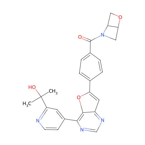 CC(C)(O)c1cc(-c2ncnc3cc(-c4ccc(C(=O)N5CC6OCC65)cc4)oc23)ccn1